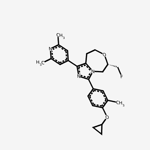 Cc1cc(-c2nc(-c3ccc(OC4CC4)c(C)c3)n3c2CCO[C@H](CF)C3)cc(C)n1